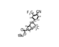 CC(C)(C)OC(=O)n1cnc(CN(CC(F)(F)F)c2ccc(C#N)c(C(F)(F)F)c2)c1